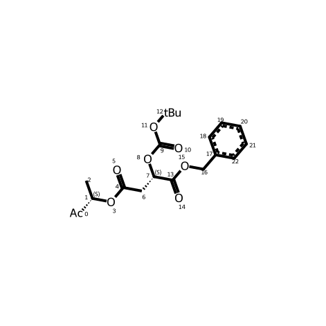 CC(=O)[C@H](C)OC(=O)C[C@H](OC(=O)OC(C)(C)C)C(=O)OCc1ccccc1